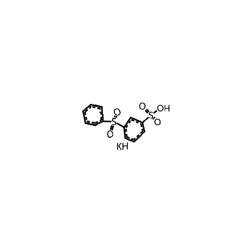 O=S(=O)(O)c1cccc(S(=O)(=O)c2ccccc2)c1.[KH]